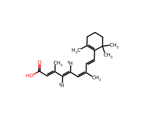 [3H]C(/C=C(C)\C=C\C1=C(C)CCCC1(C)C)=C([3H])\C(C)=C\C(=O)O